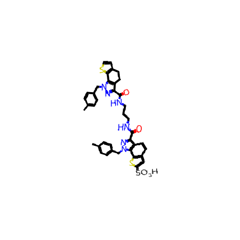 Cc1ccc(Cn2nc(C(=O)NCCCNC(=O)c3nn(Cc4ccc(C)cc4)c4c3CCc3cc(S(=O)(=O)O)sc3-4)c3c2-c2sccc2CC3)cc1